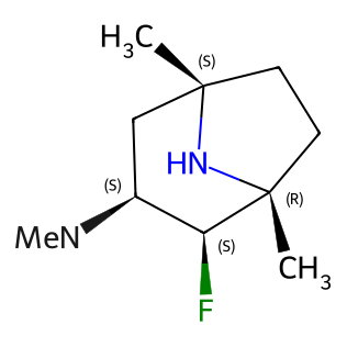 CN[C@H]1C[C@]2(C)CC[C@@](C)(N2)[C@H]1F